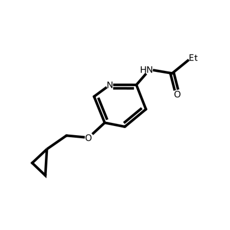 CCC(=O)Nc1ccc(OCC2CC2)cn1